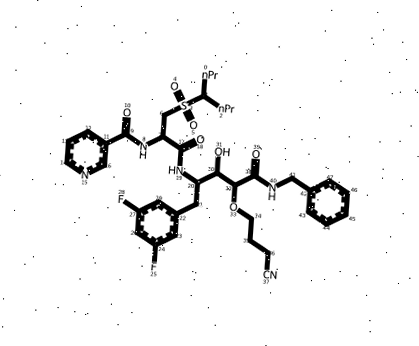 CCCC(CCC)S(=O)(=O)CC(NC(=O)c1cccnc1)C(=O)NC(Cc1cc(F)cc(F)c1)C(O)C(OCCCC#N)C(=O)NCc1ccccc1